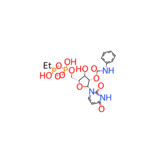 CCP(=O)(O)OP(=O)(O)OC[C@H]1O[C@@H](n2ccc(=O)[nH]c2=O)[C@@H](OC(=O)Nc2ccccc2)C1O